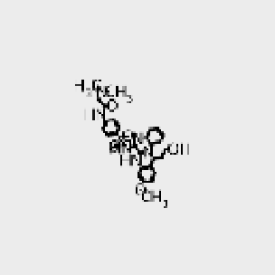 COc1ccc(CCCO)c(Nc2nc3ccccc3nc2NS(=O)(=O)c2ccc(NC(=O)CN(C)C)cc2)c1